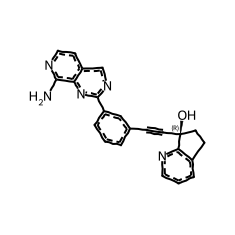 Nc1nccc2cnc(-c3cccc(C#C[C@]4(O)CCc5cccnc54)c3)nc12